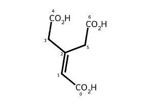 O=C(O)C=C(CC(=O)O)CC(=O)O